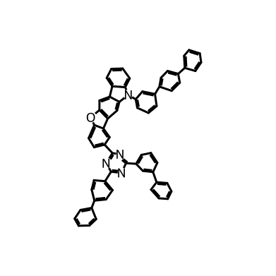 c1ccc(-c2ccc(-c3cccc(-n4c5ccccc5c5cc6oc7ccc(-c8nc(-c9ccc(-c%10ccccc%10)cc9)nc(-c9cccc(-c%10ccccc%10)c9)n8)cc7c6cc54)c3)cc2)cc1